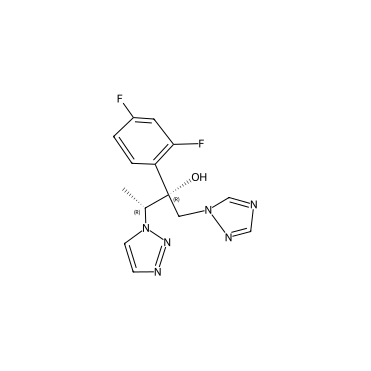 C[C@@H](n1ccnn1)[C@](O)(Cn1cncn1)c1ccc(F)cc1F